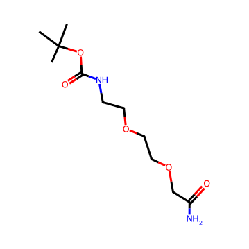 CC(C)(C)OC(=O)NCCOCCOCC(N)=O